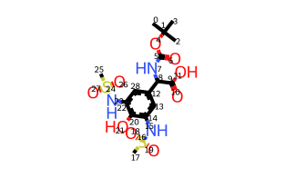 CC(C)(C)OC(=O)NC(C(=O)O)c1cc(NS(C)(=O)=O)c(O)c(NS(C)(=O)=O)c1